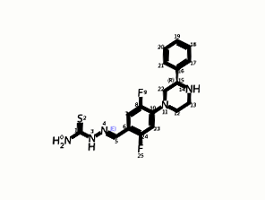 NC(=S)N/N=C/c1cc(F)c(N2CCN[C@H](c3ccccc3)C2)cc1F